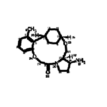 Cc1cccc2c1[C@H]1CC[C@H](CC1)OC[C@H]1[C@@H](N)CCN1C(=O)CO2